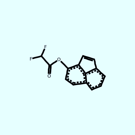 O=C(Oc1ccc2cccc3c2c1C=C3)C(F)F